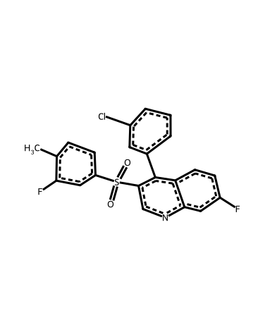 Cc1ccc(S(=O)(=O)c2cnc3cc(F)ccc3c2-c2cccc(Cl)c2)cc1F